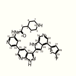 O=C(CC1CCNCC1)Nc1cncc(-c2cnc3[nH]nc(-c4cc5c(-c6ccc(F)s6)cncc5[nH]4)c3c2)c1